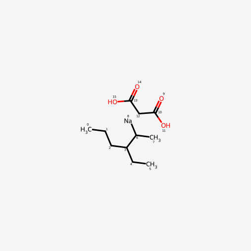 CCCC(CC)[CH](C)[Na].O=C(O)CC(=O)O